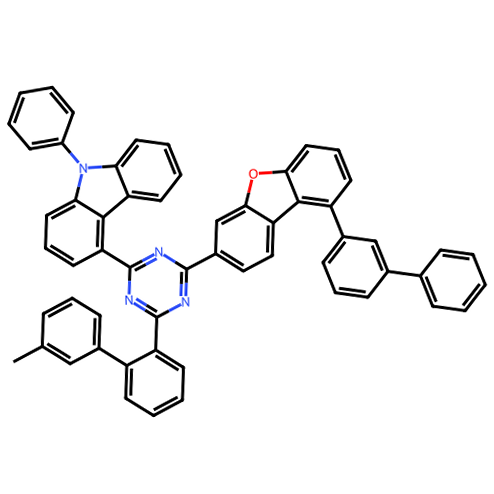 Cc1cccc(-c2ccccc2-c2nc(-c3ccc4c(c3)oc3cccc(-c5cccc(-c6ccccc6)c5)c34)nc(-c3cccc4c3c3ccccc3n4-c3ccccc3)n2)c1